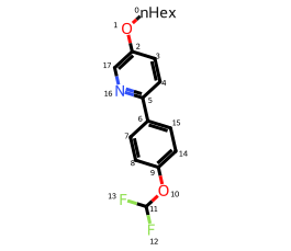 CCCCCCOc1ccc(-c2ccc(OC(F)F)cc2)nc1